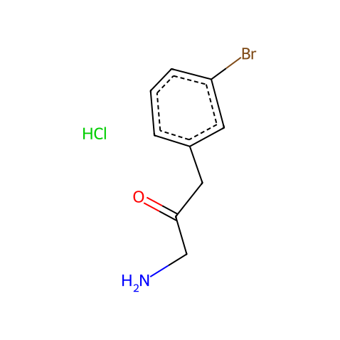 Cl.NCC(=O)Cc1cccc(Br)c1